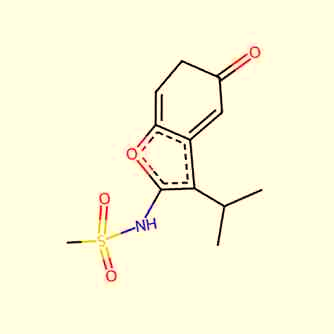 CC(C)c1c(NS(C)(=O)=O)oc2c1=CC(=O)CC=2